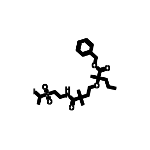 CCCC(C)(OCCC(C)(C)C(=O)NCCS(=O)(=O)C(C)I)C(=O)OCc1ccccc1